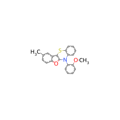 COc1ccccc1N1c2ccccc2Sc2c1oc1ccc(C)cc21